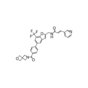 O=C(C=Cc1cccnc1)NCc1cc2cc(-c3ccc(C(=O)N4CC5(COC5)C4)cc3)cc(C(F)(F)F)c2o1